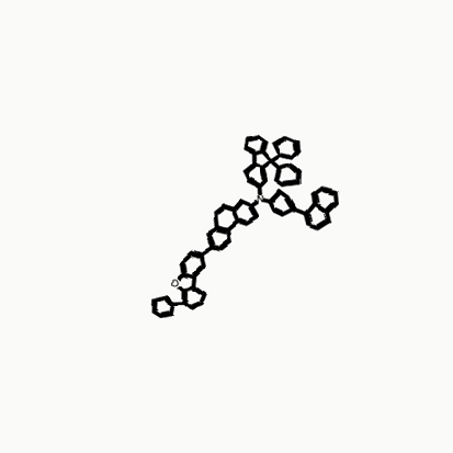 c1ccc(-c2cccc3c2oc2ccc(-c4ccc5c(ccc6cc(N(c7ccc(-c8cccc9ccccc89)cc7)c7ccc8c(c7)C(c7ccccc7)(c7ccccc7)c7ccccc7-8)ccc65)c4)cc23)cc1